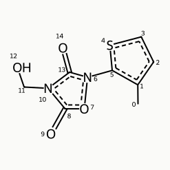 Cc1ccsc1-n1oc(=O)n(CO)c1=O